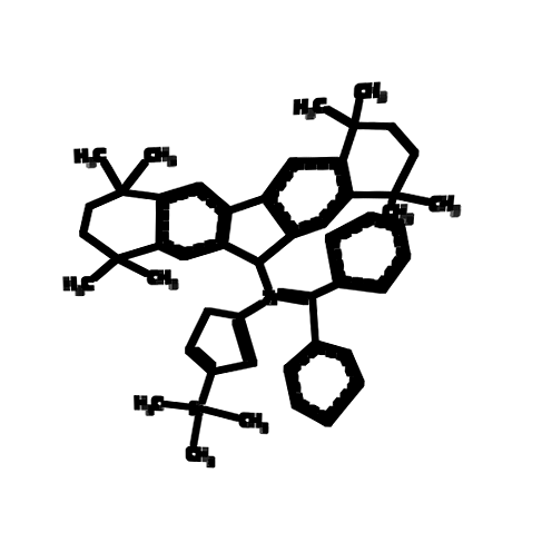 CC1(C)CCC(C)(C)c2cc3c(cc21)-c1cc2c(cc1[CH]3[Zr]([C]1=CC([Si](C)(C)C)=CC1)=[C](c1ccccc1)c1ccccc1)C(C)(C)CCC2(C)C